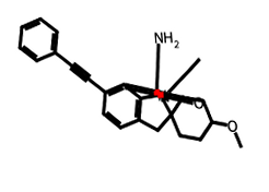 COC1CCC2(CC1)Cc1ccc(C#Cc3ccccc3)cc1C21N=C(N)N(C)C1=O